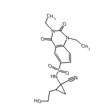 CCn1c(=O)c2cc(S(=O)(=O)NC3(C#N)CC3CCO)ccc2n(CC)c1=O